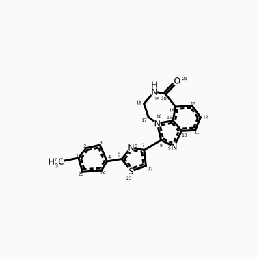 Cc1ccc(-c2nc(-c3nc4cccc5c4n3CCNC5=O)cs2)cc1